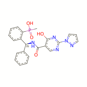 CP(=O)(O)c1ccccc1[C@@H](NC(=O)c1cnc(-n2cccn2)nc1O)c1ccccc1